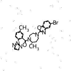 Cc1ccc(-n2nccn2)c(C(=O)N2CCN(c3nc4cc(Br)ccc4o3)CC[C@H]2C)c1